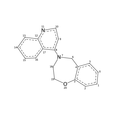 c1ccc2c(c1)CN(c1ccnc3ccccc13)CCO2